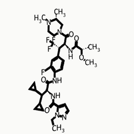 CCn1nccc1C(=O)N[C@H](C(=O)Nc1ccc([C@@H]([C@H](NC(=O)[C@H](C)OC)C(=O)N2CCN(C)[C@H](C)C2)C(F)(F)F)cc1F)C(C1CC1)C1CC1